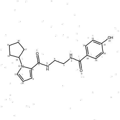 O=C(NCCNC(=O)c1cccn1C1CCCC1)c1ccc(O)cc1